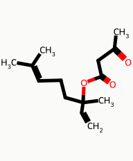 C=CC(C)(CCC=C(C)C)OC(=O)CC(C)=O